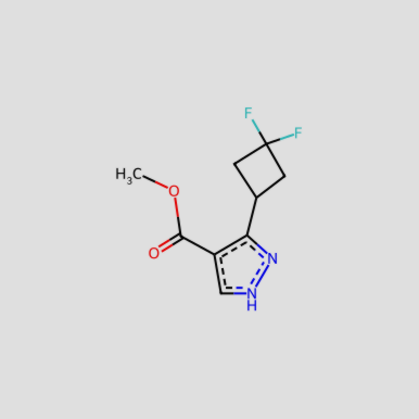 COC(=O)c1c[nH]nc1C1CC(F)(F)C1